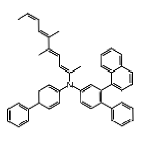 C\C=C/C=C(C)/C(C)=C/C=C(\C)N(C1=CCC(c2ccccc2)C=C1)c1ccc(-c2ccccc2)c(-c2cccc3ccccc23)c1